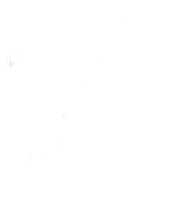 C=C(C)C(=O)OCCO.C=Cc1ccccc1C=C